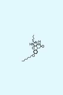 CCCCCCCOc1ccc(C2CC(=O)Nc3nc(SCCC)[nH]c(=O)c32)cc1